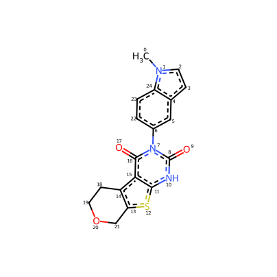 Cn1ccc2cc(-n3c(=O)[nH]c4sc5c(c4c3=O)CCOC5)ccc21